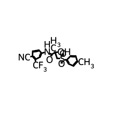 Cc1ccc(S(=O)(=O)CC(C)(O)C(=O)Nc2ccc(C#N)c(C(F)(F)F)c2)cc1